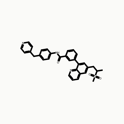 CC(Cc1cc(-c2cccc(C(=O)Nc3ccc(Cc4ccncc4)cc3)c2)c2ncccc2c1)S(C)(=O)=O